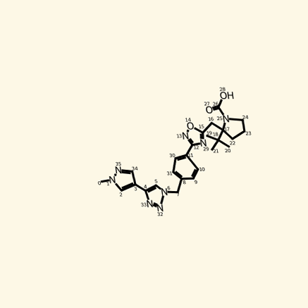 Cn1cc(-c2cn(Cc3ccc(-c4noc(CC5(C(C)(C)C)CCCN5C(=O)O)n4)cc3)nn2)cn1